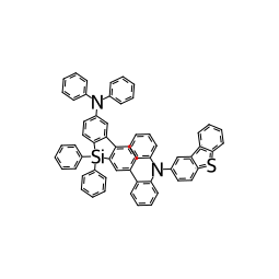 c1ccc(N(c2ccccc2)c2ccc3c(c2)-c2ccc(-c4ccccc4N(c4ccccc4)c4ccc5sc6ccccc6c5c4)cc2[Si]3(c2ccccc2)c2ccccc2)cc1